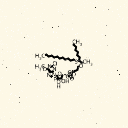 CCCCCCCCCCCCSC(CCCCCCC)C(C)OCCCOP(=O)(O)OC[C@H]1O[C@@H](n2cnc3c(OC)nc(Cl)nc32)[C@](O)(F)[C@@H]1O